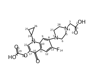 O=C(O)CN1CCN(c2cc3c(cc2F)c(=O)c(OC(=O)O)cn3C2CC2)CC1